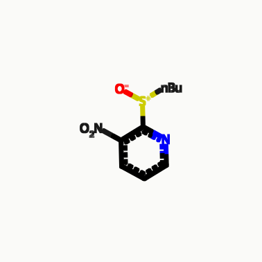 CCCC[S+]([O-])c1ncccc1[N+](=O)[O-]